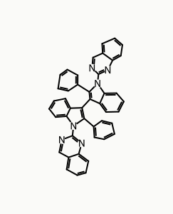 c1ccc(-c2c(-c3c(-c4ccccc4)n(-c4ncc5ccccc5n4)c4ccccc34)c3ccccc3n2-c2ncc3ccccc3n2)cc1